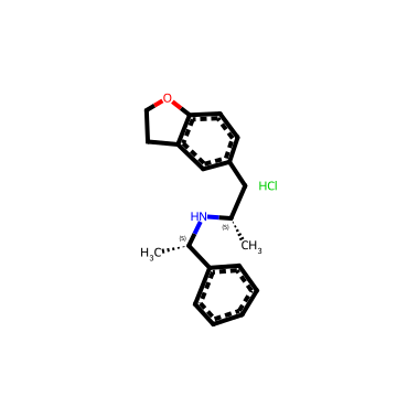 C[C@H](N[C@@H](C)Cc1ccc2c(c1)CCO2)c1ccccc1.Cl